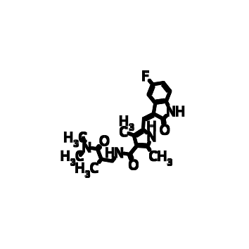 Cc1[nH]c(/C=C2\C(=O)Nc3ccc(F)cc32)c(C)c1C(=O)NCC(C)C(=O)N(C)C